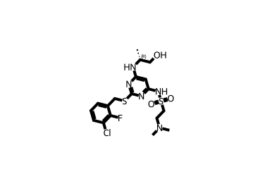 C[C@H](CO)Nc1cc(NS(=O)(=O)CCN(C)C)nc(SCc2cccc(Cl)c2F)n1